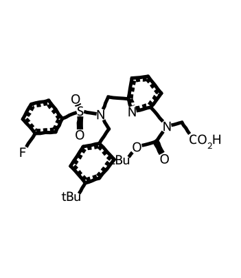 CC(C)(C)OC(=O)N(CC(=O)O)c1cccc(CN(Cc2ccc(C(C)(C)C)cc2)S(=O)(=O)c2cccc(F)c2)n1